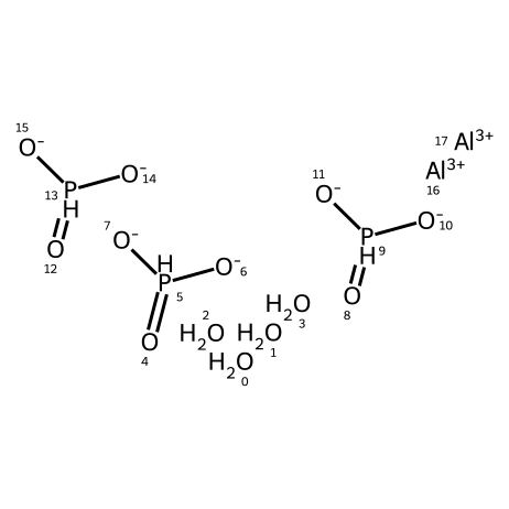 O.O.O.O.O=[PH]([O-])[O-].O=[PH]([O-])[O-].O=[PH]([O-])[O-].[Al+3].[Al+3]